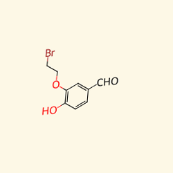 O=Cc1ccc(O)c(OCCBr)c1